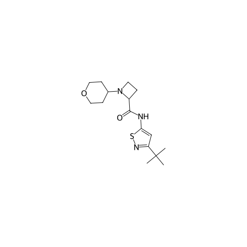 CC(C)(C)c1cc(NC(=O)C2CCN2C2CCOCC2)sn1